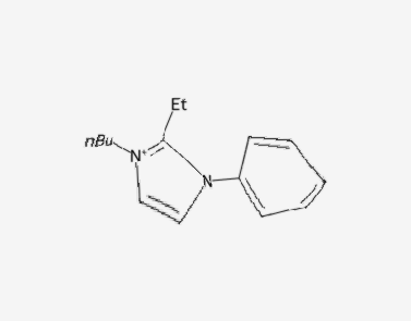 CCCC[n+]1ccn(-c2ccccc2)c1CC